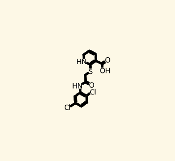 O=C(CSC1=C(C(=O)O)C=CCN1)Nc1cc(Cl)ccc1Cl